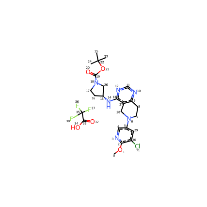 COc1ncc(N2CCc3ncnc(N[C@H]4CCN(C(=O)OC(C)(C)C)C4)c3C2)cc1Cl.O=C(O)C(F)(F)F